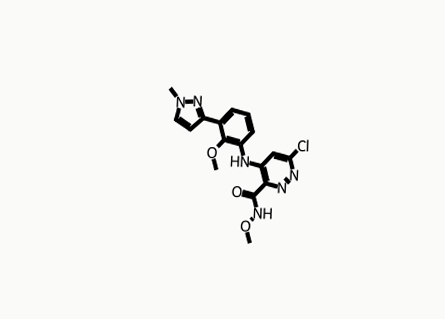 CONC(=O)c1nnc(Cl)cc1Nc1cccc(-c2ccn(C)n2)c1OC